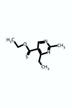 CCOC(=S)c1cnc(C)nc1CC